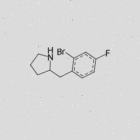 Fc1ccc(CC2CCCN2)c(Br)c1